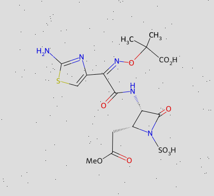 COC(=O)C[C@@H]1[C@H](NC(=O)C(=NOC(C)(C)C(=O)O)c2csc(N)n2)C(=O)N1S(=O)(=O)O